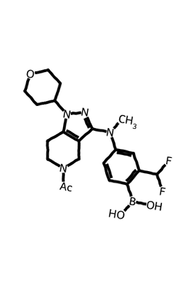 CC(=O)N1CCc2c(c(N(C)c3ccc(B(O)O)c(C(F)F)c3)nn2C2CCOCC2)C1